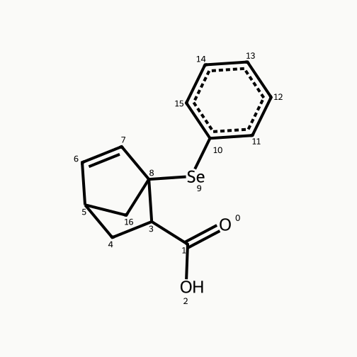 O=C(O)C1CC2C=CC1([Se]c1ccccc1)C2